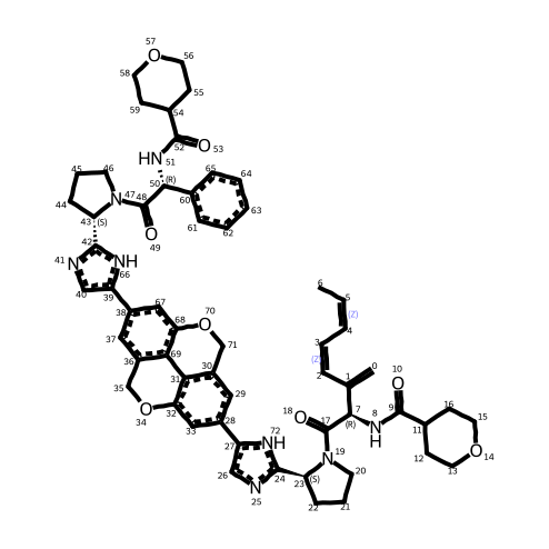 C=C(/C=C\C=C/C)[C@@H](NC(=O)C1CCOCC1)C(=O)N1CCC[C@H]1c1ncc(-c2cc3c4c(c2)OCc2cc(-c5cnc([C@@H]6CCCN6C(=O)[C@H](NC(=O)C6CCOCC6)c6ccccc6)[nH]5)cc(c2-4)OC3)[nH]1